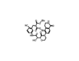 CC(C)(C)OC(=O)N(Cc1cc(NC(=O)[C@H](O)[C@H]2OCCN(c3ccc4c(c3)CCNC4=O)C2=O)ccc1C#N)C(=O)OC(C)(C)C